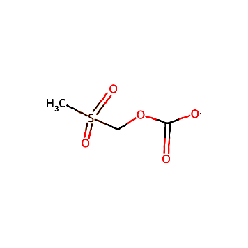 CS(=O)(=O)COC([O])=O